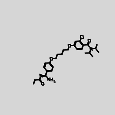 CCC(=O)/N=C(\N)c1ccc(OCCCCCOc2ccc(C(=O)N(C(C)C)C(C)C)c(Cl)c2)cc1